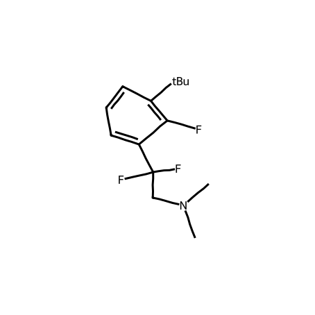 CN(C)CC(F)(F)c1cccc(C(C)(C)C)c1F